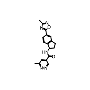 Cc1cc(C(=O)NC2CCc3cc(-c4nc(C)no4)ccc32)cnn1